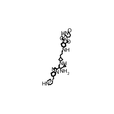 NC(/C(=C\NC1CC(CCCNc2ccc3c(c2)C(=O)N(C2CCC(=O)NC2=O)C3=O)C1)c1cnc2ccc(CN3CCNCC3)cc2n1)C1CC1